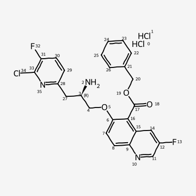 Cl.Cl.N[C@@H](COc1ccc2ncc(F)cc2c1C(=O)OCc1ccccc1)Cc1ccc(F)c(Cl)n1